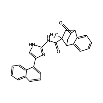 CC1(C(=O)Nc2nc(-c3cccc4ccccc34)c[nH]2)CC2C(=O)CC1c1ccccc12